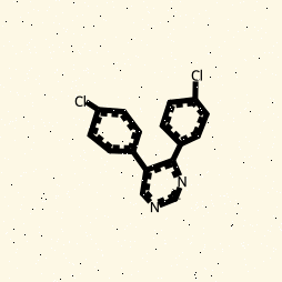 Clc1ccc(-c2cn[c]nc2-c2ccc(Cl)cc2)cc1